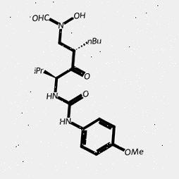 CCCC[C@@H](CN(O)C=O)C(=O)[C@@H](NC(=O)Nc1ccc(OC)cc1)C(C)C